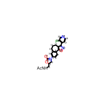 CC(=O)NCC1CN(c2ccc3c(c2)CCCc2c(-c4ccncc4F)noc2-3)C(=O)O1